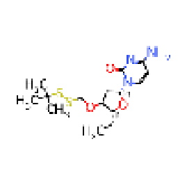 CC[C@H]1O[C@@H](n2ccc(N)nc2=O)CC1OCSSC(C)(C)C